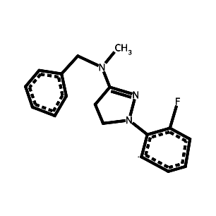 CN(Cc1ccccc1)C1=NN(c2[c]cccc2F)CC1